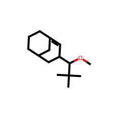 COC(C1C=C2CCCC(C2)C1)C(C)(C)C